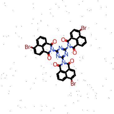 O=C1c2cccc3c(Br)ccc(c23)C(=O)N1c1nc(N2C(=O)c3cccc4c(Br)ccc(c34)C2=O)nc(N2C(=O)c3cccc4c(Br)ccc(c34)C2=O)n1